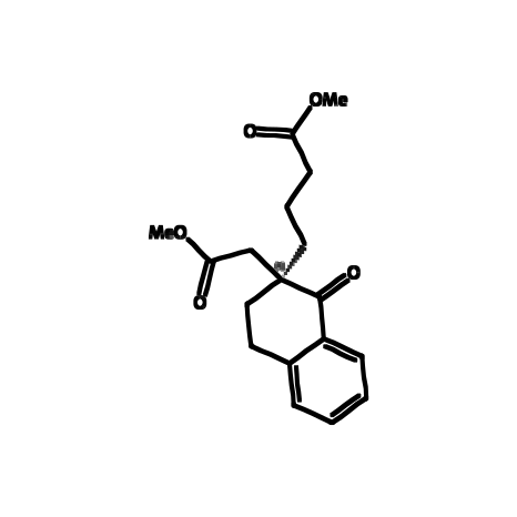 COC(=O)CCC[C@@]1(CC(=O)OC)CCc2ccccc2C1=O